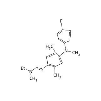 CCN(C)C=Nc1cc(C)c(N(C)c2ccc(F)cc2)cc1C